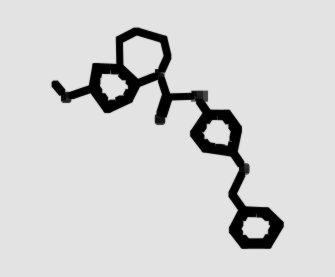 COc1ccc2c(c1)CCCCN2C(=O)Nc1ccc(OCc2ccccc2)cc1